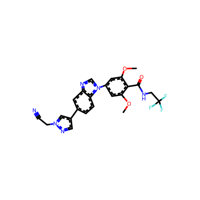 COc1cc(-n2cnc3cc(-c4cnn(CC#N)c4)ccc32)cc(OC)c1C(=O)NCC(F)(F)F